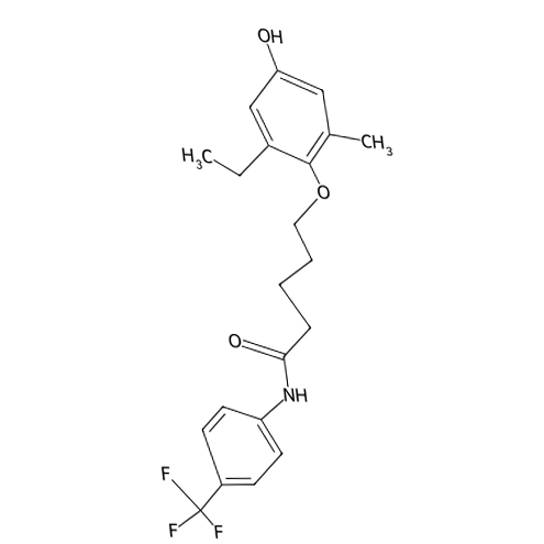 CCc1cc(O)cc(C)c1OCCCCC(=O)Nc1ccc(C(F)(F)F)cc1